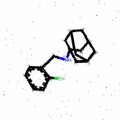 Clc1ccccc1CNC12CC3CC(CC(C3)C1)C2